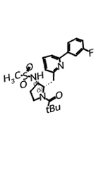 CC(C)(C)C(=O)N1CC[C@H](NS(C)(=O)=O)[C@@H]1Cc1cccc(-c2cccc(F)c2)n1